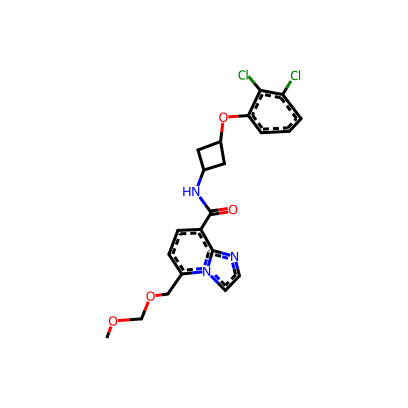 COCOCc1ccc(C(=O)NC2CC(Oc3cccc(Cl)c3Cl)C2)c2nccn12